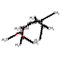 C=CCOP(=O)(OCCNC(=O)CC(=O)NCCOP(=O)(OCC=C)OC[C@@H](COCC[C@@H](CCCCCCC)OC(=O)CCCCCCCCCCC)NC(=O)CCCCCCCCCCCCC)OC[C@@H](COCC[C@@H](CCCCCCC)OC(=O)CCCCCCCCCCC)NC(=O)CCCCCCCCCCCCC